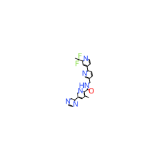 Cc1cc(-c2cnccn2)cnc1C(=O)NCc1ccc(-c2ccnc(C(C)(F)F)c2)nc1